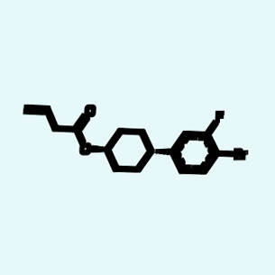 C=CCC(=O)O[C@H]1CC[C@H](c2ccc(Br)c(F)c2)CC1